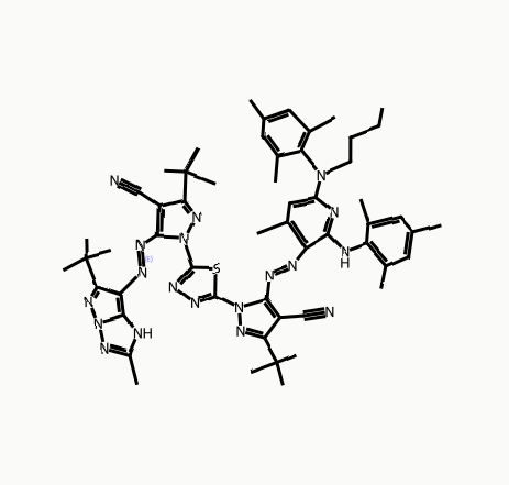 CCCCN(c1cc(C)c(N=Nc2c(C#N)c(C(C)(C)C)nn2-c2nnc(-n3nc(C(C)(C)C)c(C#N)c3/N=N/c3c(C(C)(C)C)nn4nc(C)[nH]c34)s2)c(Nc2c(C)cc(C)cc2C)n1)c1c(C)cc(C)cc1C